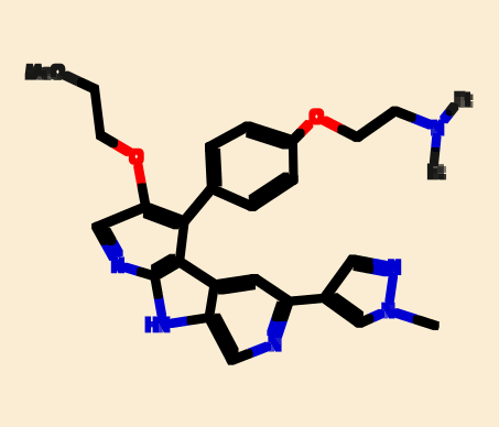 CCN(CC)CCOc1ccc(-c2c(OCCOC)cnc3[nH]c4cnc(-c5cnn(C)c5)cc4c23)cc1